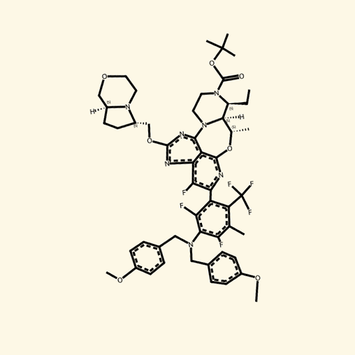 CC[C@H]1[C@H]2[C@H](C)Oc3nc(-c4c(F)c(N(Cc5ccc(OC)cc5)Cc5ccc(OC)cc5)c(F)c(C)c4C(F)(F)F)c(F)c4nc(OC[C@@H]5CC[C@H]6COCCN65)nc(c34)N2CCN1C(=O)OC(C)(C)C